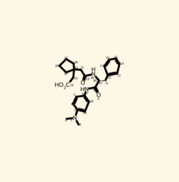 CN(C)c1ccc(NC(=O)[C@@H](Cc2ccccc2)NC(=O)CC2(CC(=O)O)CCCC2)cc1